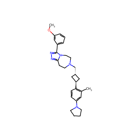 COc1cccc(-c2nnc3n2CCN(C[C@H]2C[C@H](c4ccc(N5CCCC5)cc4C)C2)CC3)c1